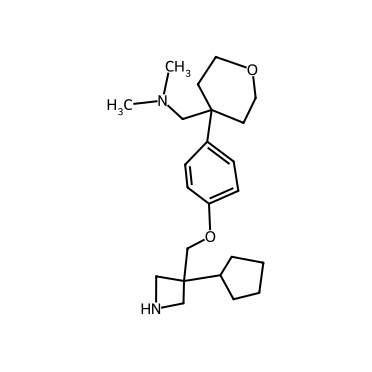 CN(C)CC1(c2ccc(OCC3(C4CCCC4)CNC3)cc2)CCOCC1